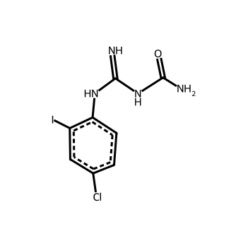 N=C(NC(N)=O)Nc1ccc(Cl)cc1I